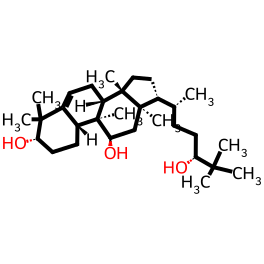 C[C@H](CC[C@@H](O)C(C)(C)C)[C@H]1CC[C@@]2(C)[C@H]3CC=C4[C@@H](CC[C@H](O)C4(C)C)[C@]3(C)[C@H](O)C[C@]12C